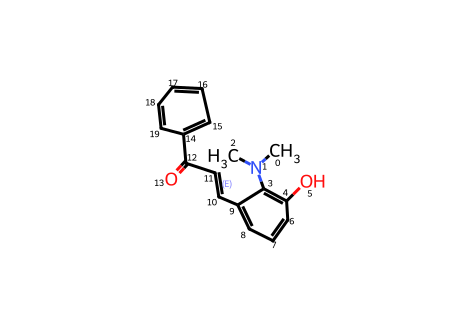 CN(C)c1c(O)cccc1/C=C/C(=O)c1ccccc1